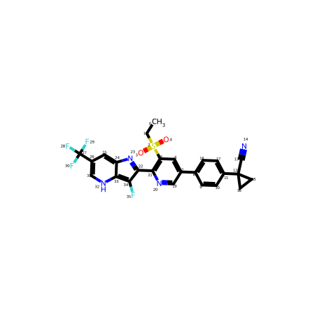 CCS(=O)(=O)c1cc(-c2ccc(C3(C#N)CC3)cc2)cnc1-c1nc2cc(C(F)(F)F)c[nH]c-2c1F